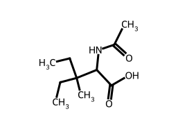 CCC(C)(CC)C(NC(C)=O)C(=O)O